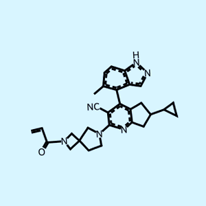 C=CC(=O)N1CC2(CCN(c3nc4c(c(-c5c(C)ccc6[nH]ncc56)c3C#N)CC(C3CC3)C4)C2)C1